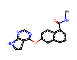 CC(C)NC(=O)c1cccc2cc(Oc3ncnc4[nH]ccc34)ccc12